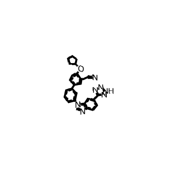 N#Cc1cc(-c2cccc(-n3cnc4ccc(-c5nn[nH]n5)cc43)c2)ccc1OC1CCCC1